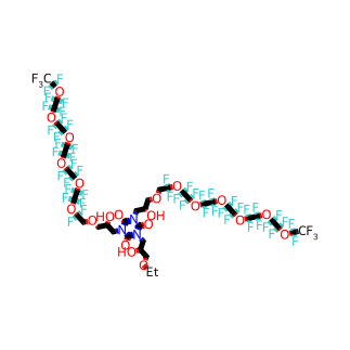 CCOCC(O)Cn1c(=O)n(CC(O)COCC(F)(F)OC(F)(F)C(F)(F)OC(F)(F)C(F)(F)OC(F)(F)C(F)(F)OC(F)(F)C(F)(F)OC(F)(F)C(F)(F)OC(F)(F)C(F)(F)F)c(=O)n(CC(O)COCC(F)(F)OC(F)(F)C(F)(F)OC(F)(F)C(F)(F)OC(F)(F)C(F)(F)OC(F)(F)C(F)(F)OC(F)(F)C(F)(F)OC(F)(F)C(F)(F)F)c1=O